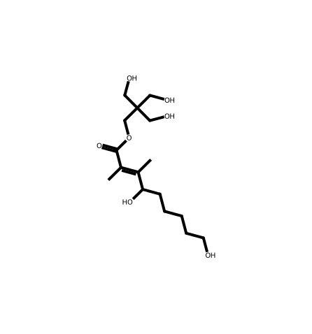 CC(C(=O)OCC(CO)(CO)CO)=C(C)C(O)CCCCCO